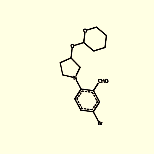 O=Cc1cc(Br)ccc1N1CCC(OC2CCCCO2)C1